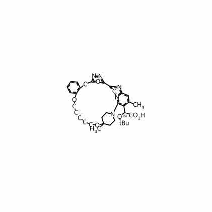 Cc1cc2nc3cn2c(c1[C@H](OC(C)(C)C)C(=O)O)N1CCC(C)(CC1)OCCCCCOc1ccccc1Cc1nnc-3o1